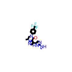 CNc1ncc(-c2cnn3c2C(=O)N(c2ccc(C(F)(F)F)cc2)CC3C)[nH]1